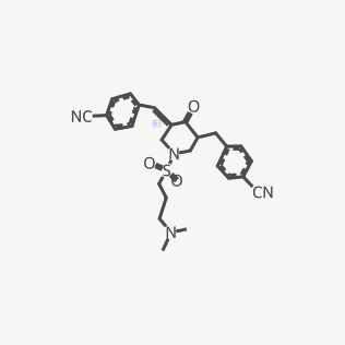 CN(C)CCCS(=O)(=O)N1C/C(=C\c2ccc(C#N)cc2)C(=O)C(Cc2ccc(C#N)cc2)C1